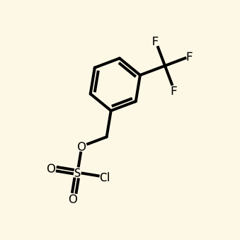 O=S(=O)(Cl)OCc1cccc(C(F)(F)F)c1